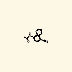 CC(=O)Nc1ccc(C#N)c2cccnc12